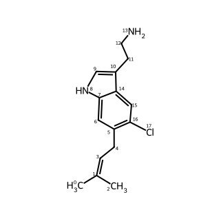 CC(C)=CCc1cc2[nH]cc(CCN)c2cc1Cl